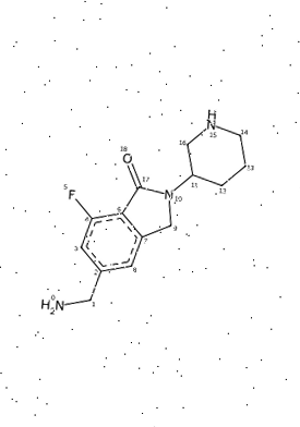 NCc1cc(F)c2c(c1)CN(C1CCCNC1)C2=O